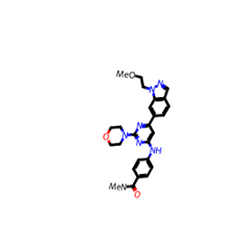 CNC(=O)c1ccc(Nc2cc(-c3ccc4cnn(CCOC)c4c3)nc(N3CCOCC3)n2)cc1